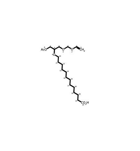 C=COCOCC(COC(C)=O)OCCCCCCCCCCCCC(=O)O